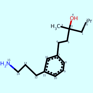 CC(C)CC(C)(O)CCc1cccc(CCCN)c1